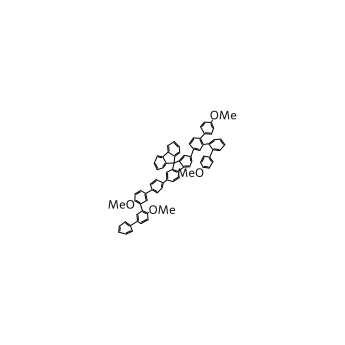 COc1ccc(-c2ccccc2-c2cc(-c3ccc4c(c3)C3(c5ccccc5-c5ccccc53)c3cc(-c5ccc(-c6ccc(OC)c(-c7cc(-c8ccccc8)ccc7OC)c6)cc5)ccc3-4)ccc2-c2ccc(OC)cc2)cc1